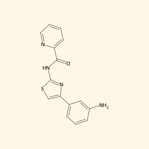 Nc1cccc(-c2csc(NC(=O)c3ccccn3)n2)c1